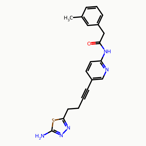 Cc1cccc(CC(=O)Nc2ccc(C#CCCc3nnc(N)s3)cn2)c1